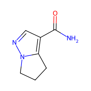 NC(=O)c1cnn2c1CCC2